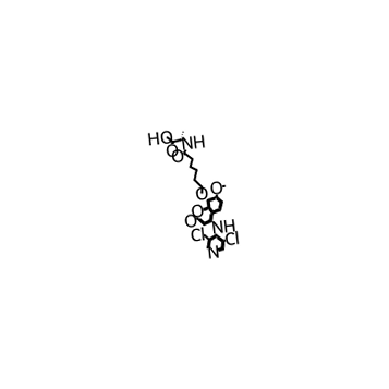 COc1ccc2c(Nc3c(Cl)cncc3Cl)cc(=O)oc2c1OCCCCCC(=O)N[C@@H](C)C(=O)O